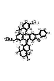 CC(C)(C)Cc1cc2c3c(c1)C(C)(C)c1ccc(C(C)(C)C)cc1B3c1cc3c(cc1N2c1ccc2c(c1)C(C)(C)CCC2(C)C)sc1ccccc13